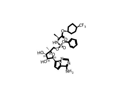 C[C@H](NP(=O)(OC[C@@]1(C)O[C@@H](c2ccc3c(N)ncnn23)[C@H](O)[C@@H]1O)Oc1ccccc1)C(=O)O[C@H]1CC[C@@H](C(F)(F)F)CC1